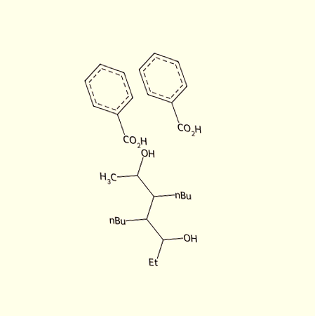 CCCCC(C(C)O)C(CCCC)C(O)CC.O=C(O)c1ccccc1.O=C(O)c1ccccc1